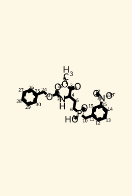 COC(=O)C(CCP(=O)(O)Cc1cccc([N+](=O)[O-])c1)NC(=O)OCc1ccccc1